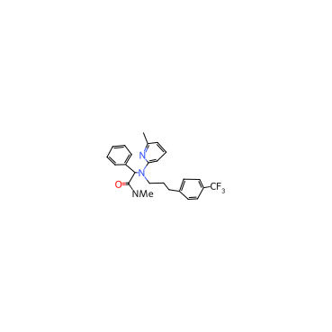 CNC(=O)C(c1ccccc1)N(CCCc1ccc(C(F)(F)F)cc1)c1cccc(C)n1